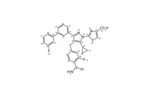 N[S+]([O-])c1ccc(Cc2c(-c3cccc(-c4cccc(F)c4)c3)nn(-c3nc(C(=O)O)cs3)c2C2CC2)cc1F